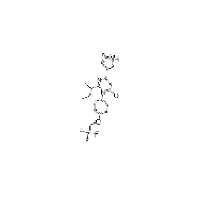 CCC(C)c1nc(-c2cn[nH]c2)cc(=O)n1-c1ccc(OCC(F)(F)F)cc1